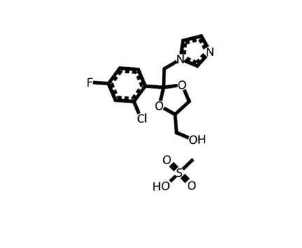 CS(=O)(=O)O.OCC1COC(Cn2ccnc2)(c2ccc(F)cc2Cl)O1